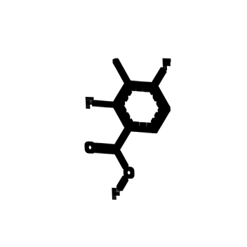 Cc1c(F)ccc(C(=O)OF)c1F